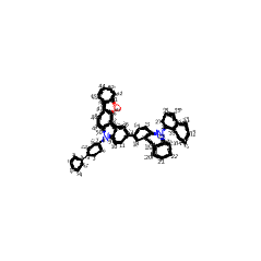 c1ccc(-c2ccc(-n3c4ccc(-c5ccc6c(c5)c5ccccc5n6-c5cccc6ccccc56)cc4c4c5oc6ccccc6c5ccc43)cc2)cc1